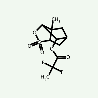 CC(F)(F)C(=O)OC1C2CC3C(C)(C2)C1OS3(=O)=O